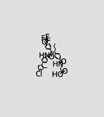 CCCC(c1ccc(C(=O)NCCC(=O)O)cc1)[C@H](C(=O)Nc1ccc(-c2ccc(Cl)cc2C)cc1)c1ccc(OC(F)(F)F)cc1